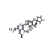 BC(=C)C(=C/C=C)/C1=C(\C)CC2NC(CC3(C#N)CCCC3)=CC2(C)CSC1